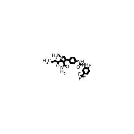 CCCC(=O)c1c(C(N)=O)c(-c2ccc(NC(=O)Nc3cc(C(F)(F)F)ccc3F)cc2)cn1N